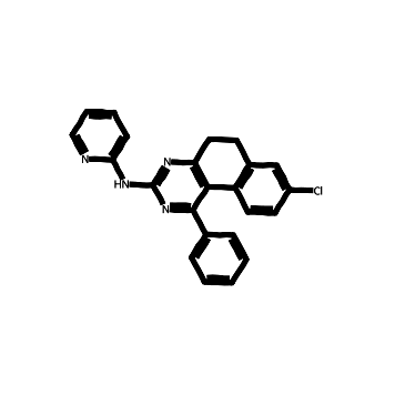 Clc1ccc2c(c1)CCc1nc(Nc3ccccn3)nc(-c3ccccc3)c1-2